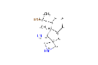 CC(C)(S)C1CCCC2CC3(CNC3)C(N)C21